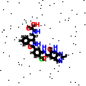 Cc1ncc2cc(C(=O)Nc3cc(C(=O)NC(CCNC(=O)O)c4ccccc4)ccc3Cl)c(=O)[nH]c2n1